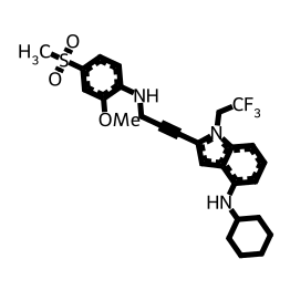 COc1cc(S(C)(=O)=O)ccc1NCC#Cc1cc2c(NC3CCCCC3)cccc2n1CC(F)(F)F